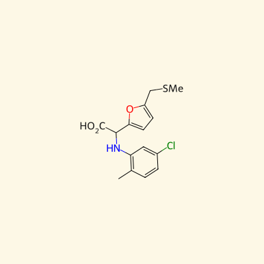 CSCc1ccc(C(Nc2cc(Cl)ccc2C)C(=O)O)o1